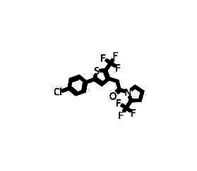 O=C(Cc1cc(-c2ccc(Cl)cc2)sc1C(F)(F)F)N1CCCC1C(F)(F)F